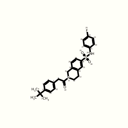 CC(C)(C)c1ccc(CC(=O)N2CCc3cc(S(=O)(=O)Nc4ccc(F)cc4)ccc3C2)cc1